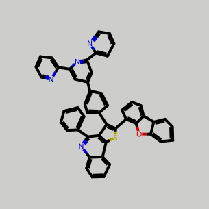 c1ccc(-c2nc3ccccc3c3sc(-c4cccc5c4oc4ccccc45)c(-c4ccc(-c5cc(-c6ccccn6)nc(-c6ccccn6)c5)cc4)c23)cc1